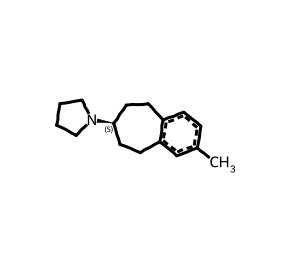 Cc1ccc2c(c1)CC[C@@H](N1CCCC1)CC2